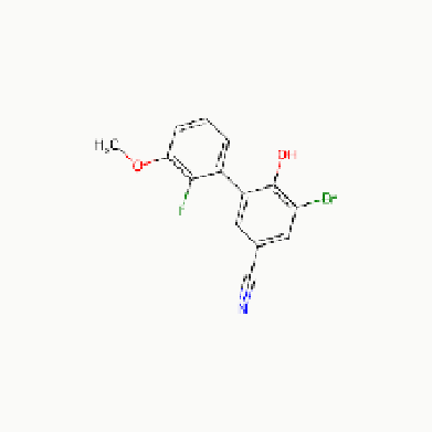 COc1cccc(-c2cc(C#N)cc(Br)c2O)c1F